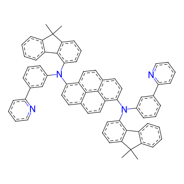 CC1(C)c2ccccc2-c2c(N(c3cccc(-c4ccccn4)c3)c3ccc4ccc5c(N(c6cccc(-c7ccccn7)c6)c6cccc7c6-c6ccccc6C7(C)C)ccc6ccc3c4c65)cccc21